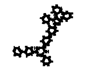 c1ccc(-c2ccc(C3=NC(c4ccccc4)NC(c4ccc(-c5ccc(-c6nc7c8ccccc8c8ncccc8c7n6-c6ccccc6)cc5)cc4)N3)cc2)cc1